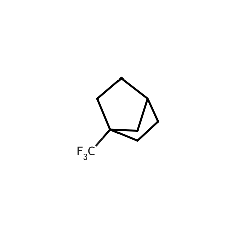 FC(F)(F)C12CCC(CC1)C2